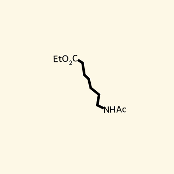 CCOC(=O)CCCCCCNC(C)=O